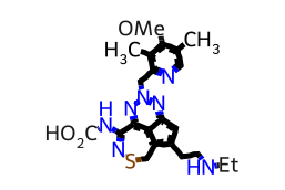 CCNCCc1cc2nn(Cc3ncc(C)c(OC)c3C)nc3c-2c1CSN=C3NC(=O)O